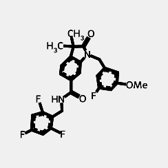 COc1cc(F)cc(CN2C(=O)C(C)(C)c3ccc(C(=O)NCc4c(F)cc(F)cc4F)cc32)c1